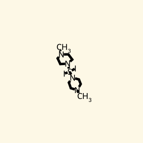 CN1CCN(S(I)(I)N2CCN(C)CC2)CC1